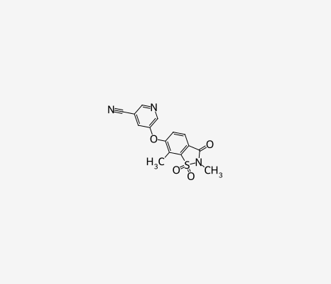 Cc1c(Oc2cncc(C#N)c2)ccc2c1S(=O)(=O)N(C)C2=O